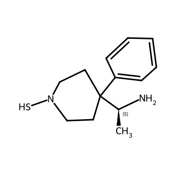 C[C@H](N)C1(c2ccccc2)CCN(S)CC1